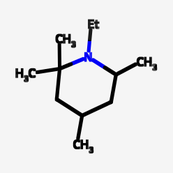 CCN1C(C)CC(C)CC1(C)C